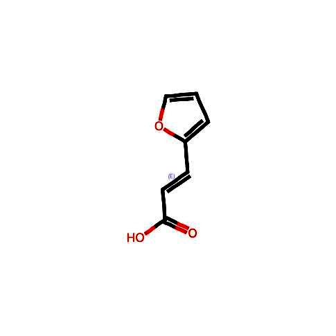 O=C(O)/C=C/c1ccco1